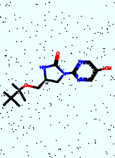 CC(C)(C)[Si](C)(C)OC[C@@H]1CN(c2ncc(O)cn2)C(=O)N1